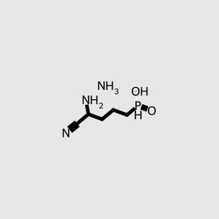 N.N#CC(N)CCC[PH](=O)O